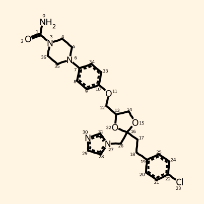 NC(=O)N1CCN(c2ccc(OCC3COC(CCc4ccc(Cl)cc4)(Cn4ccnc4)O3)cc2)CC1